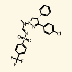 CN(C=NS(=O)(=O)c1ccc(C(F)(F)F)cc1)N1C[C@H](c2ccccc2)C(c2ccc(Cl)cc2)=N1